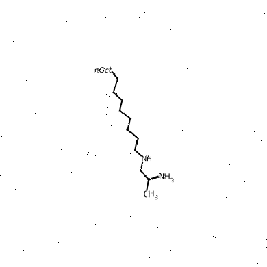 CCCCCCCCCCCCCCCCNCC(C)N